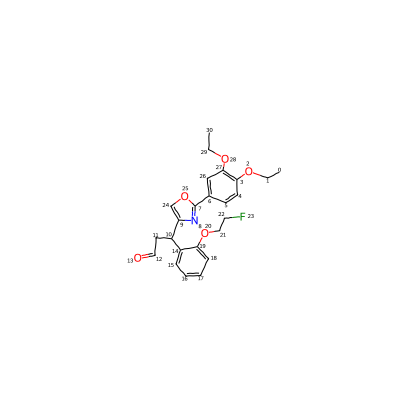 CCOc1ccc(-c2nc(C(CC=O)c3ccccc3OCCF)co2)cc1OCC